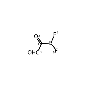 O=CC(=O)B(F)F